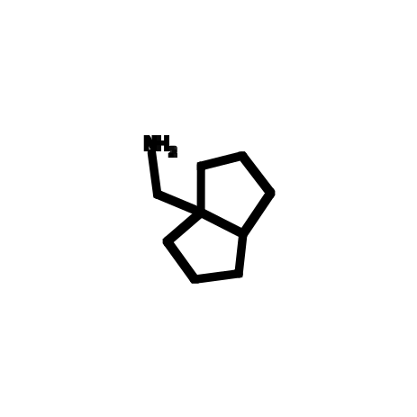 NCC12CCCC1CCC2